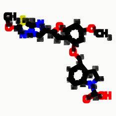 COc1cc(OCc2cccc3c2CCN3C(=O)O)c2cc(-c3cn4nc(OC)sc4n3)oc2c1